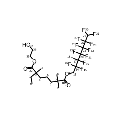 CCC(C)(CCCC(C)(C)C(=O)OCC(F)(F)C(F)(F)C(F)(F)C(F)(F)C(F)(F)C(F)F)C(=O)OCCO